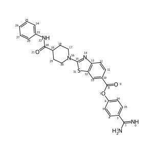 N=C(N)c1ccc(OC(=O)c2ccc3nc(N4CCC(C(=O)Nc5ccccc5)CC4)sc3c2)cc1